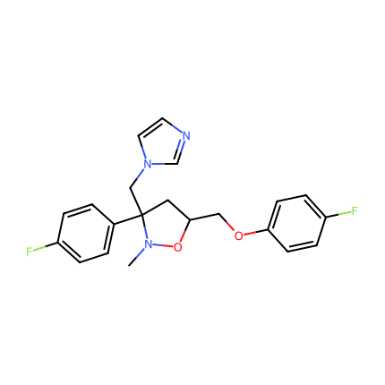 CN1OC(COc2ccc(F)cc2)CC1(Cn1ccnc1)c1ccc(F)cc1